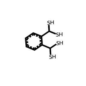 SC(S)c1ccccc1C(S)S